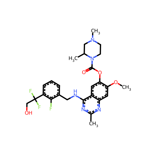 COc1cc2nc(C)nc(NCc3cccc(C(F)(F)CO)c3F)c2cc1OC(=O)N1CCN(C)CC1C